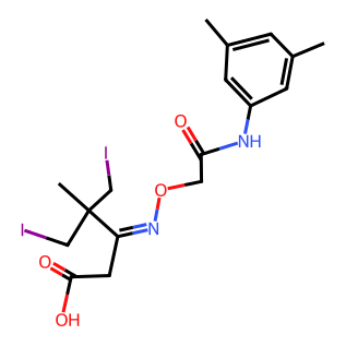 Cc1cc(C)cc(NC(=O)CON=C(CC(=O)O)C(C)(CI)CI)c1